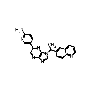 CC(c1ccc2ncccc2c1)n1cnc2ncc(-c3ccc(N)nc3)nc21